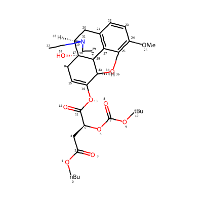 CCCCOC(=O)C[C@H](OC(=O)OC(C)(C)C)C(=O)OC1=CC[C@@]2(O)[C@H]3Cc4ccc(OC)c5c4[C@@]2(CCN3C)[C@H]1O5